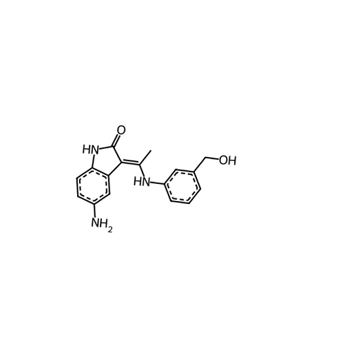 CC(Nc1cccc(CO)c1)=C1C(=O)Nc2ccc(N)cc21